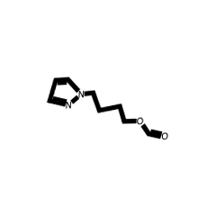 O=COCCCCn1cccn1